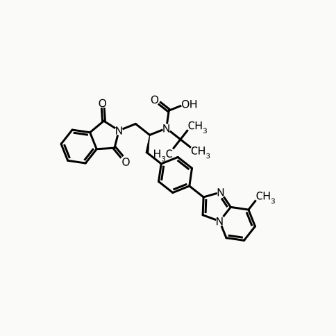 Cc1cccn2cc(-c3ccc(C[C@@H](CN4C(=O)c5ccccc5C4=O)N(C(=O)O)C(C)(C)C)cc3)nc12